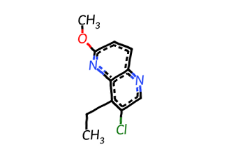 CCc1c(Cl)cnc2ccc(OC)nc12